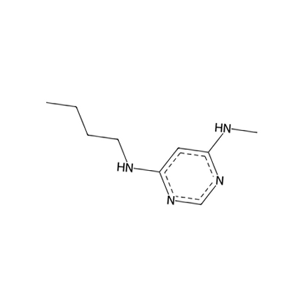 CCCCNc1cc(NC)ncn1